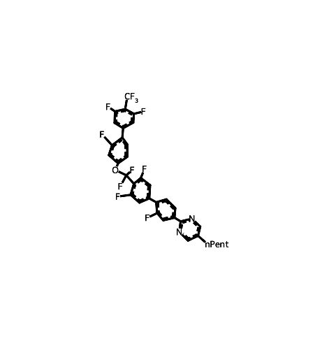 CCCCCc1cnc(-c2ccc(-c3cc(F)c(C(F)(F)Oc4ccc(-c5cc(F)c(C(F)(F)F)c(F)c5)c(F)c4)c(F)c3)c(F)c2)nc1